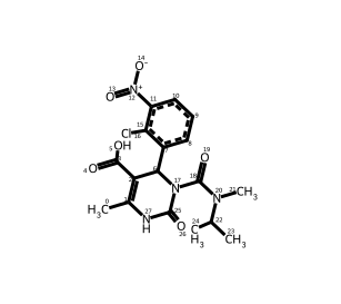 CC1=C(C(=O)O)C(c2cccc([N+](=O)[O-])c2Cl)N(C(=O)N(C)C(C)C)C(=O)N1